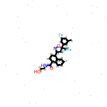 Cc1cc(F)cc(C2(C(F)(F)F)CC(c3ccc(C(=O)NCCO)c4ccccc34)=NO2)c1